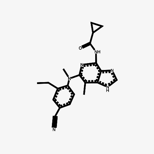 CCc1cc(C#N)ccc1N(C)c1nc(NC(=O)C2CC2)c2nc[nH]c2c1C